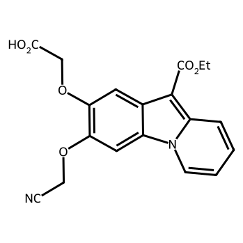 CCOC(=O)c1c2cc(OCC(=O)O)c(OCC#N)cc2n2ccccc12